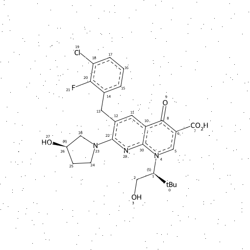 CC(C)(C)[C@@H](CO)n1cc(C(=O)O)c(=O)c2cc(Cc3cccc(Cl)c3F)c(N3CC[C@@H](O)C3)nc21